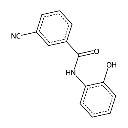 N#Cc1cccc(C(=O)Nc2ccccc2O)c1